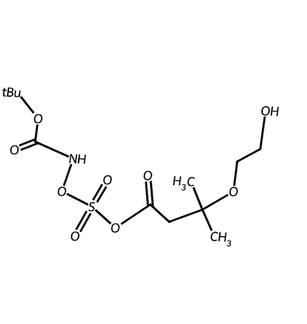 CC(C)(C)OC(=O)NOS(=O)(=O)OC(=O)CC(C)(C)OCCO